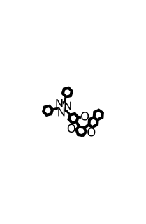 c1ccc(-c2nc(-c3ccccc3)nc(-c3cc4oc5ccc6oc7cc8ccccc8c8oc(c3)c4c5c6c78)n2)cc1